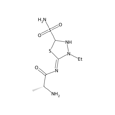 CCN1NC(S(N)(=O)=O)SC1=NC(=O)[C@@H](C)N